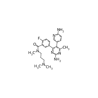 Cc1nc(N)nc(-c2ccc(F)c(C(=O)N(C)CCCN(C)C)c2)c1-c1ccc(N)nc1